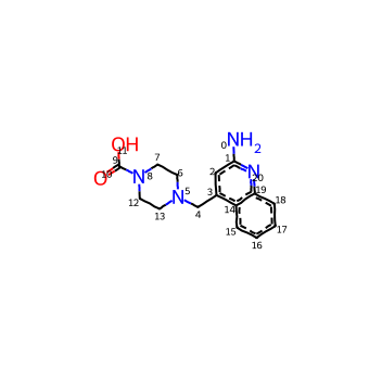 Nc1cc(CN2CCN(C(=O)O)CC2)c2ccccc2n1